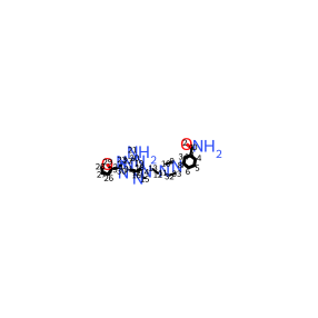 NC(=O)c1cccc(N2CCN(CCn3cnc4c3nc(N)n3nc(-c5ccco5)nc43)CC2)c1